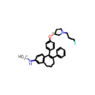 O=C(O)Nc1ccc2c(c1)CCCC(c1ccccc1)=C2c1ccc(O[C@H]2CCN(CCCF)C2)cc1